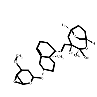 COC1CC(O[C@H]2CC[C@@]3(C)C(=CCC[C@@H]3CC[C@]3(C)C[C@H]4CC[C@@H](CO4)O[C@@]3(C)O)C2)OC2OC12